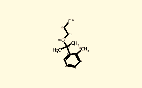 Cc1ccccc1C(C)(C)OCCF